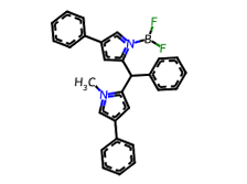 Cn1cc(-c2ccccc2)cc1C(c1ccccc1)c1cc(-c2ccccc2)cn1B(F)F